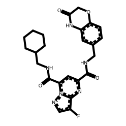 O=C1COc2ccc(CNC(=O)c3cc(C(=O)NCC4CCCCC4)n4ncc(F)c4n3)cc2N1